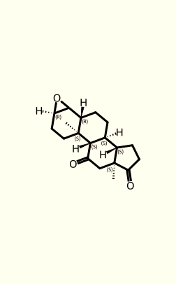 C[C@]12CC[C@H]3OC3[C@@H]1CC[C@@H]1[C@@H]2C(=O)C[C@]2(C)C(=O)CC[C@@H]12